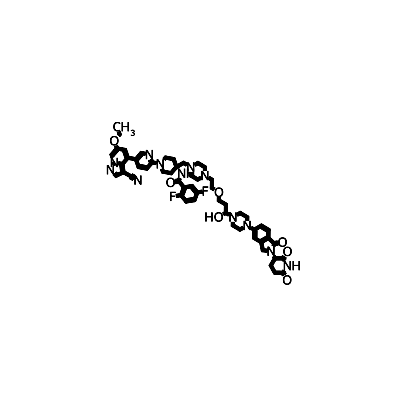 CCOc1cc(-c2ccc(N3CCC(CN4CCN(CCOCCC(O)N5CCN(c6ccc7c(c6)CN(C6CCC(=O)NC6=O)C7=O)CC5)CC4)(NC(=O)c4cc(F)ccc4F)CC3)nc2)c2c(C#N)cnn2c1